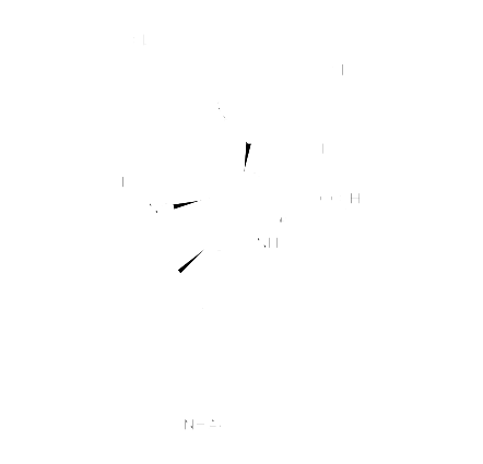 CC(=O)NCCC(C)(C)C[C@@H]1N[C@@H](C(=O)O)[C@H](c2cccc(Cl)c2F)[C@@]1(C#N)c1ccc(Cl)cc1F